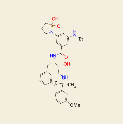 CCNc1cc(C(=O)N[C@@H](Cc2ccccc2)[C@H](O)CNC(C)(C)c2cccc(OC)c2)cc(N2CCCS2(O)O)c1